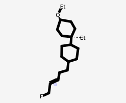 CCO[C@H]1CC[C@@](CC)(C2CCC(CC/C=C/CF)CC2)CC1